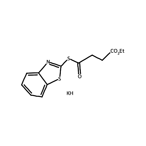 CCOC(=O)CCC(=O)Sc1nc2ccccc2s1.[KH]